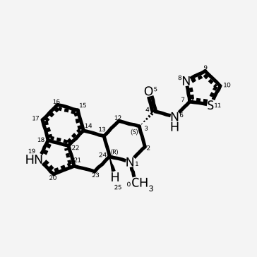 CN1C[C@@H](C(=O)Nc2nccs2)CC2c3cccc4[nH]cc(c34)C[C@H]21